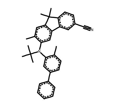 Cc1ccc(-c2ccccc2)cc1N(c1cc2c(cc1C)C(C)(C)c1ccc(C#N)cc1-2)C(C)(C)C